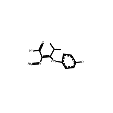 CC(C)/C(Nc1ccc(Cl)cc1)=C(/N=N)C(=O)O